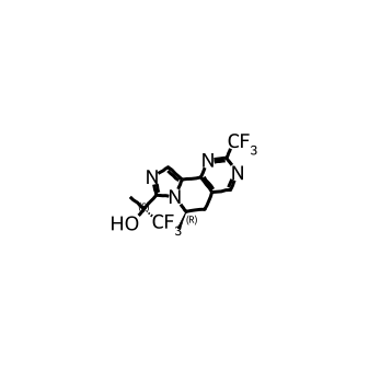 C[C@@H]1Cc2cnc(C(F)(F)F)nc2-c2cnc([C@](C)(O)C(F)(F)F)n21